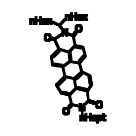 CCCCCCCN1C(=O)c2ccc3c4ccc5c6c(ccc(c7ccc(c2c37)C1=O)c64)C(=O)N(C(CCCCCC)CCCCCC)C5=O